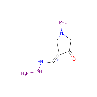 O=C1CN(P)C/C1=C\NPP